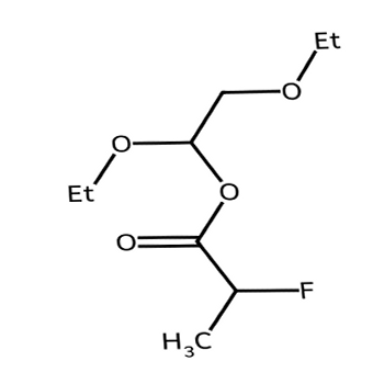 [CH2]COCC(OCC)OC(=O)C(C)F